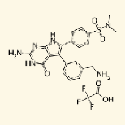 CN(C)S(=O)(=O)c1ccc(-c2[nH]c3nc(N)[nH]c(=O)c3c2-c2cccc(CN)c2)cc1.O=C(O)C(F)(F)F